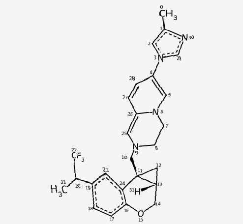 Cc1cn(C2=CN3CCN(C[C@@]45C[C@@H]4COc4ccc(C(C)C(F)(F)F)cc45)C=C3C=C2)cn1